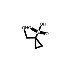 O=S(=O)(O)C1(CO)CC1